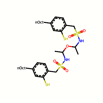 CCCCCCCCc1ccc(CS(=O)(=O)NC(C)OC(C)NS(=O)(=O)Cc2ccc(CCCCCCCC)cc2S)c(S)c1